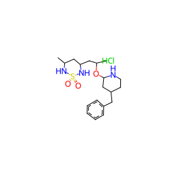 CC1CC(CC(C)OC2CC(Cc3ccccc3)CCN2)NS(=O)(=O)N1.Cl